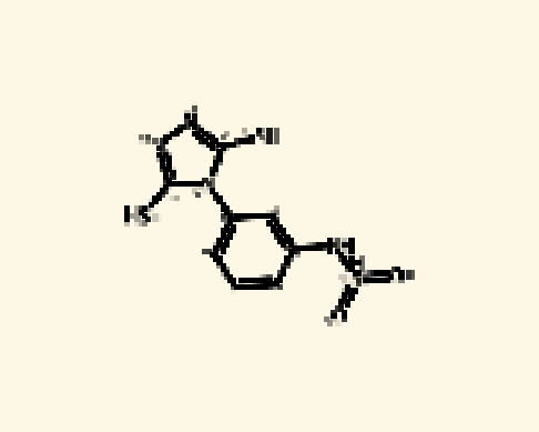 O=[SH](=O)Nc1cccc(-n2c(S)nnc2S)c1